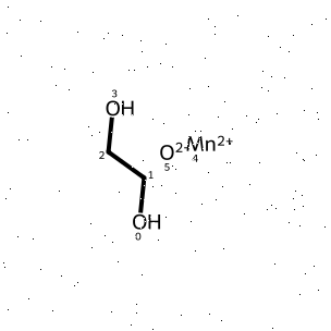 OCCO.[Mn+2].[O-2]